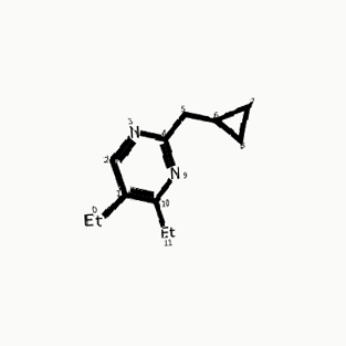 CCc1[c]nc(CC2CC2)nc1CC